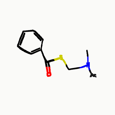 CC(=O)N(C)CSC(=O)c1ccccc1